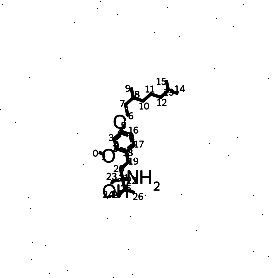 COc1cc(OCCC(C)CCCC(C)C)ccc1CCC(N)(CO)C(C)C